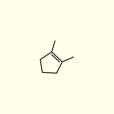 CC1=C(C)CC[CH]1